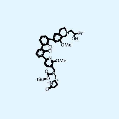 COc1cc(-c2cccc(-c3cccc(-c4ccc(CN(C[C@@H]5CCC(=O)N5)C(=O)OC(C)(C)C)c(OC)n4)c3Cl)c2Cl)cc2c1CN(CC(O)C(C)C)CC2